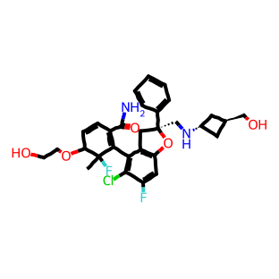 CC1(F)C(c2c(Cl)c(F)cc3c2C[C@@](CN[C@H]2C[C@H](CO)C2)(c2ccccc2)O3)=C(C(N)=O)C=CC1OCCO